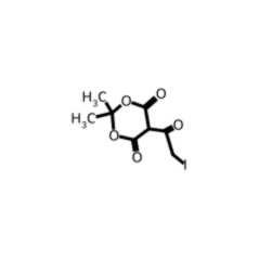 CC1(C)OC(=O)C(C(=O)CI)C(=O)O1